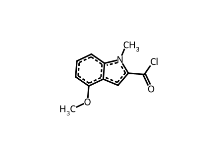 COc1cccc2c1cc(C(=O)Cl)n2C